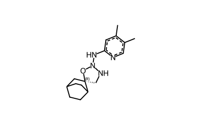 Cc1cnc(NN2NC[C@]3(CC4CCC3CC4)O2)cc1C